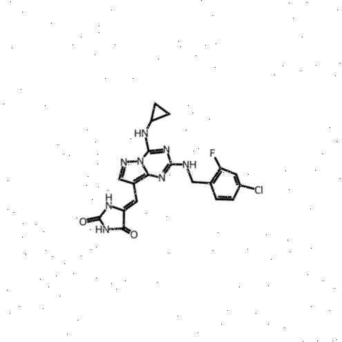 O=C1NC(=O)/C(=C/c2cnn3c(NC4CC4)nc(NCc4ccc(Cl)cc4F)nc23)N1